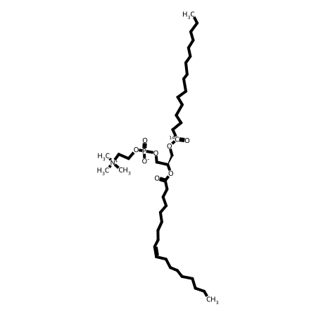 CCCCCCCC/C=C\CCCCCCCC(=O)O[C@H](CO[14C](=O)CCCCCCCCCCCCCCC)COP(=O)([O-])OCC[N+](C)(C)C